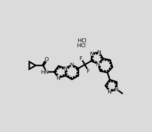 Cl.Cl.Cn1cc(-c2ccc3nnc(C(F)(F)c4ccc5nc(NC(=O)C6CC6)cn5n4)n3c2)cn1